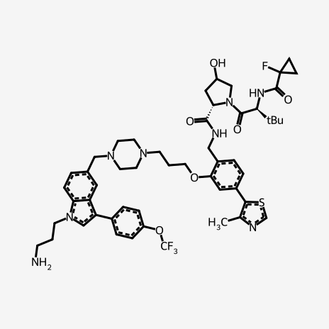 Cc1ncsc1-c1ccc(CNC(=O)[C@@H]2CC(O)CN2C(=O)[C@@H](NC(=O)C2(F)CC2)C(C)(C)C)c(OCCCN2CCN(Cc3ccc4c(c3)c(-c3ccc(OC(F)(F)F)cc3)cn4CCCN)CC2)c1